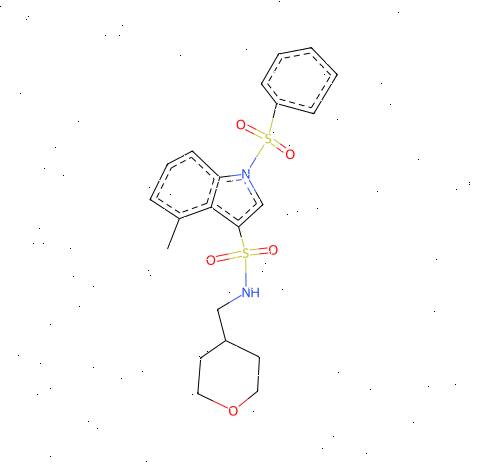 Cc1cccc2c1c(S(=O)(=O)NCC1CCOCC1)cn2S(=O)(=O)c1ccccc1